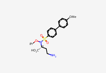 COc1ccc(-c2ccc(S(=O)(=O)N(OC(C)C)[C@H](CCN)C(=O)O)cc2)cc1